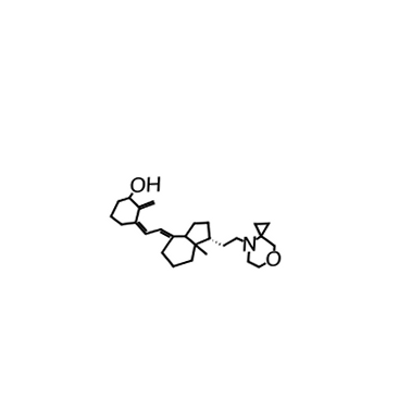 C=C1/C(=C\C=C2/CCCC3(C)C2CC[C@@H]3CCN2CCOCC23CC3)CCCC1O